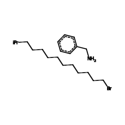 CC(C)CCCCCCCCCCCBr.NCc1ccccc1